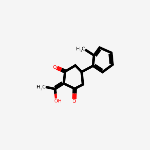 CC(O)=C1C(=O)CC(c2ccccc2C)CC1=O